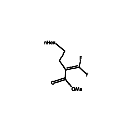 CCCCCCCCC(C(=O)OC)=C(F)F